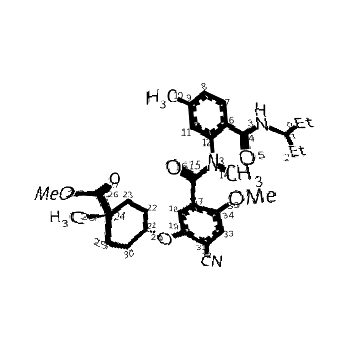 CCC(CC)NC(=O)c1ccc(C)cc1N(C)C(=O)c1cc(O[C@H]2CC[C@@](C)(C(=O)OC)CC2)c(C#N)cc1OC